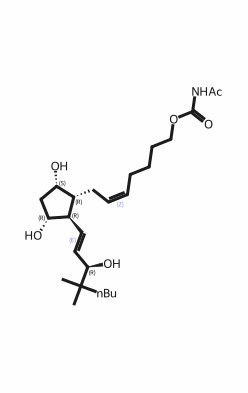 CCCCC(C)(C)[C@H](O)/C=C/[C@@H]1[C@@H](C/C=C\CCCCOC(=O)NC(C)=O)[C@@H](O)C[C@H]1O